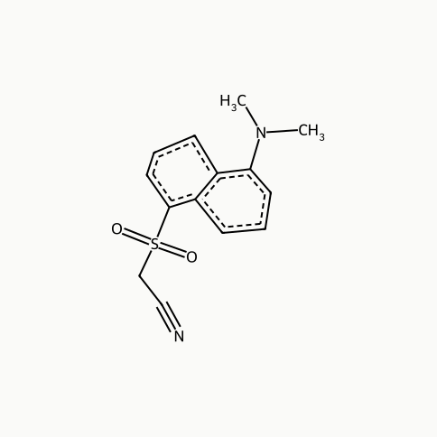 CN(C)c1cccc2c(S(=O)(=O)CC#N)cccc12